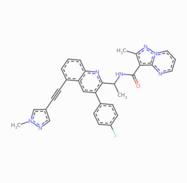 Cc1nn2cccnc2c1C(=O)NC(C)c1nc2cccc(C#Cc3cnn(C)c3)c2cc1-c1ccc(F)cc1